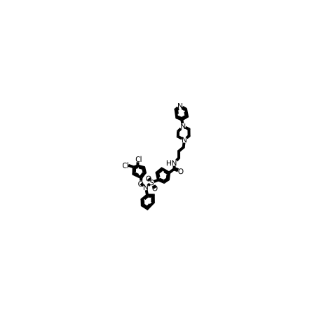 O=C(NCCCN1CCN(c2ccncc2)CC1)c1ccc(S(=O)(=O)N(Oc2ccc(Cl)c(Cl)c2)c2ccccc2)cc1